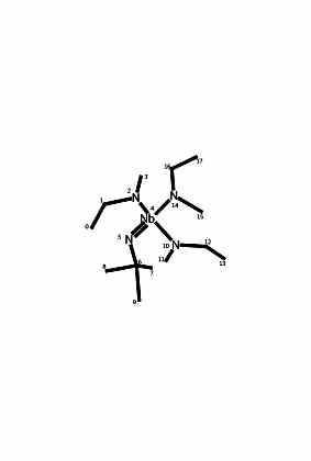 CC[N](C)[Nb](=[N]C(C)(C)C)([N](C)CC)[N](C)CC